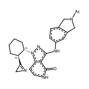 CC(=O)N1Cc2ccc(Nc3nn([C@H]4CCCC[C@@H]4C4=NC4)c4cc[nH]c(=O)c34)cc2C1